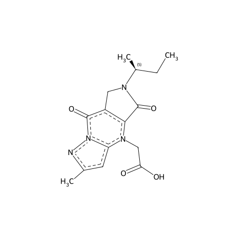 CC[C@H](C)N1Cc2c(n(CC(=O)O)c3cc(C)nn3c2=O)C1=O